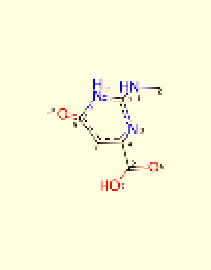 CNc1nc(C(=O)O)cc(=O)[nH]1